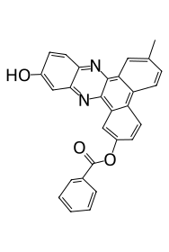 Cc1ccc2c3ccc(OC(=O)c4ccccc4)cc3c3nc4cc(O)ccc4nc3c2c1